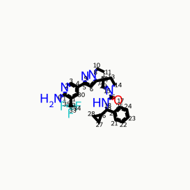 Nc1ncc(-c2cc3n(n2)CC[C@@]32CCN(C(=O)NC(c3ccccc3)C3CC3)C2)cc1C(F)(F)F